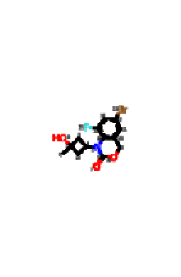 CC1(O)CC(N2C(=O)OCc3cc(Br)cc(F)c32)C1